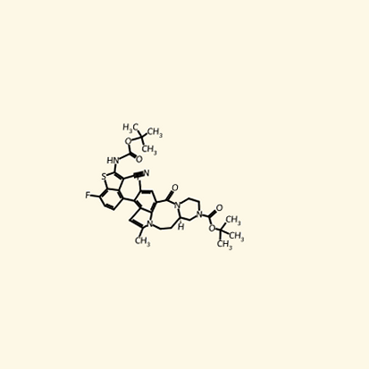 Cc1cc2c(-c3ccc(F)c4sc(NC(=O)OC(C)(C)C)c(C#N)c34)c(F)cc3c2n1CC[C@@H]1CN(C(=O)OC(C)(C)C)CCN1C3=O